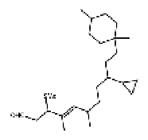 CSC(CC=O)/C(C)=C/C(C)CCC(CCC1(C)CCC(C)CC1)C1CC1